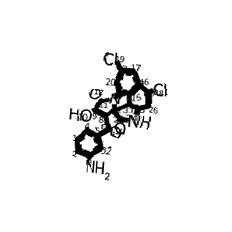 Nc1cccc(C(=O)C2=C(O)C(=O)N(c3cccc(Cl)c3)C23C(=O)NC2C=C(Cl)C=CC23)c1